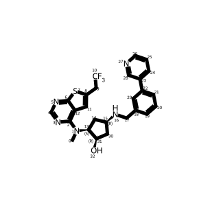 CN(c1ncnc2sc(CC(F)(F)F)cc12)[C@H]1C[C@@H](NCc2cccc(-c3cccnc3)c2)C[C@H]1O